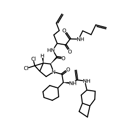 C=CCCNC(=O)C(=O)C(CCC=C)NC(=O)[C@@H]1[C@@H]2C(CN1C(=O)[C@@H](NC(=C)NC1CCC3CCC3C1)C1CCCCC1)C2(Cl)Cl